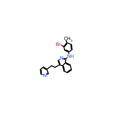 Cc1ccc(Nc2ncc(CCc3cccnc3)c3ccccc23)cc1Br